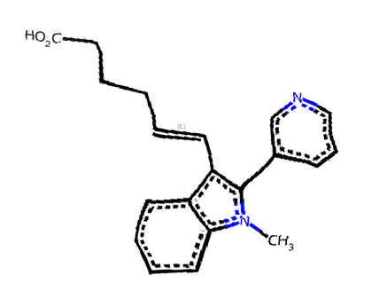 Cn1c(-c2cccnc2)c(/C=C/CCCC(=O)O)c2ccccc21